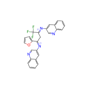 FC(F)(F)/C(C/C(=N/c1cnc2ccccc2c1)c1ccco1)=N/c1cnc2ccccc2c1